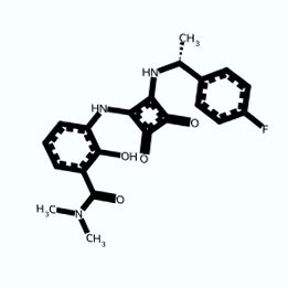 C[C@@H](Nc1c(Nc2cccc(C(=O)N(C)C)c2O)c(=O)c1=O)c1ccc(F)cc1